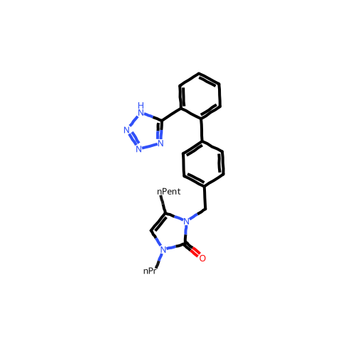 CCCCCc1cn(CCC)c(=O)n1Cc1ccc(-c2ccccc2-c2nnn[nH]2)cc1